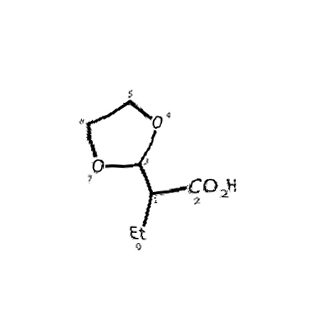 CCC(C(=O)O)C1OCCO1